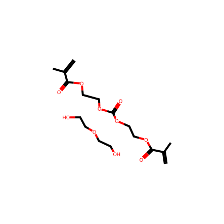 C=C(C)C(=O)OCCOC(=O)OCCOC(=O)C(=C)C.OCCOCCO